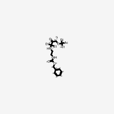 CCC(CC)(NCCNC(=O)OCc1ccccc1)C(=O)[C@H](C)OC(CC)(CC)C(C)=O